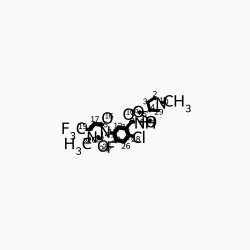 CN1CCC(S(=O)(=O)NC(=O)c2cc(-n3c(=O)cc(C(F)(F)F)n(C)c3=O)c(F)cc2Cl)C1